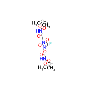 CC(C)(C)OC(=O)NCC(=O)CCn1c(=O)c(F)cn(COC(=O)CNC(=O)OC(C)(C)C)c1=O